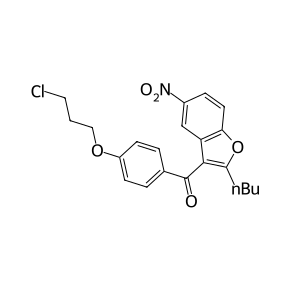 CCCCc1oc2ccc([N+](=O)[O-])cc2c1C(=O)c1ccc(OCCCCl)cc1